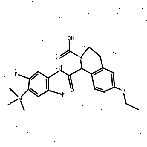 CCOc1ccc2c(c1)CCN(C(=O)O)C2C(=O)Nc1cc(F)c([Si](C)(C)C)cc1F